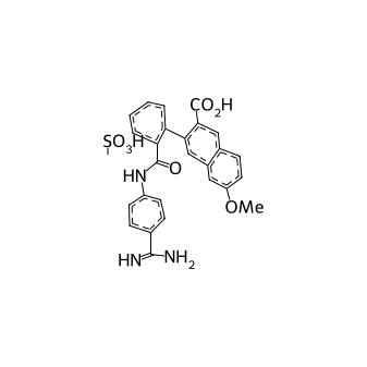 COc1ccc2cc(C(=O)O)c(-c3ccccc3C(=O)Nc3ccc(C(=N)N)cc3)cc2c1.CS(=O)(=O)O